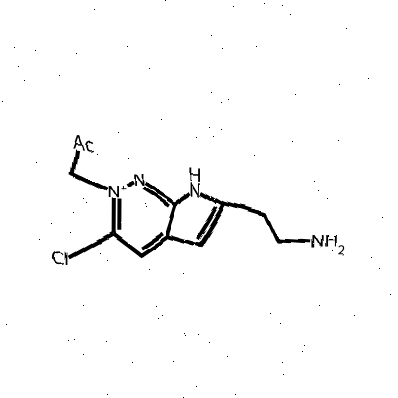 CC(=O)C[n+]1nc2[nH]c(CCN)cc2cc1Cl